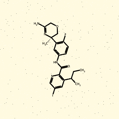 CCC(C)c1cc(I)cnc1C(=O)Nc1ccc(F)c([C@]2(C)COCC(N)=N2)c1